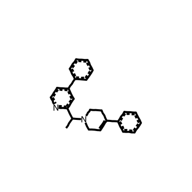 CC(c1cc(-c2ccccc2)ccn1)N1CC=C(c2ccccc2)CC1